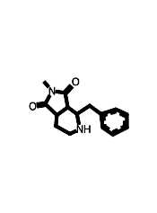 CN1C(=O)C2CCNC(Cc3ccccc3)C2C1=O